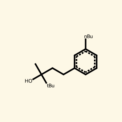 CCCCc1cccc(CCC(C)(O)C(C)(C)C)c1